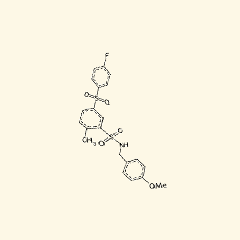 COc1ccc(CNS(=O)(=O)c2cc(S(=O)(=O)c3ccc(F)cc3)ccc2C)cc1